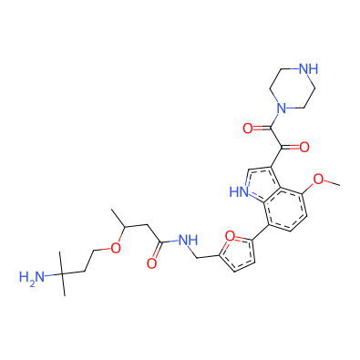 COc1ccc(-c2ccc(CNC(=O)CC(C)OCCC(C)(C)N)o2)c2[nH]cc(C(=O)C(=O)N3CCNCC3)c12